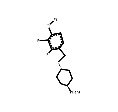 CCCCC[C@H]1CC[C@H](CCc2ccc(OCC)c(F)c2F)CC1